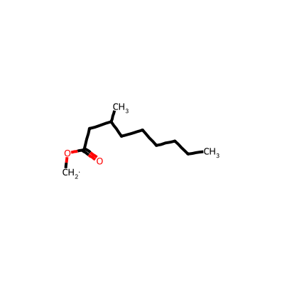 [CH2]OC(=O)CC(C)CCCCCC